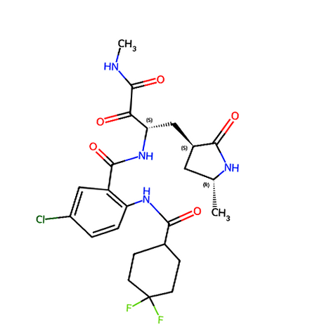 CNC(=O)C(=O)[C@H](C[C@@H]1C[C@@H](C)NC1=O)NC(=O)c1cc(Cl)ccc1NC(=O)C1CCC(F)(F)CC1